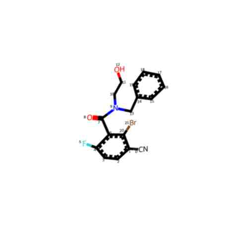 N#Cc1ccc(F)c(C(=O)N(CCO)Cc2ccccc2)c1Br